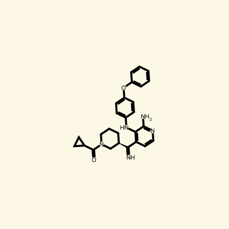 N=C(c1ccnc(N)c1Nc1ccc(Oc2ccccc2)cc1)[C@@H]1CCCN(C(=O)C2CC2)C1